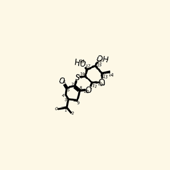 CC(C)C1CC(=O)C2=C(C1)OC1OC(C)C(O)C(O)C1S2